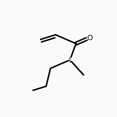 C=CC(=O)I(C)CCC